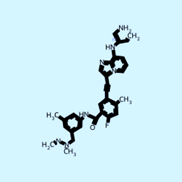 C=C/C(=C\N)Nc1cccn2c(C#Cc3cc(C(=O)Nc4cc(C)cc(CN(C)N=C)c4)c(F)cc3C)cnc12